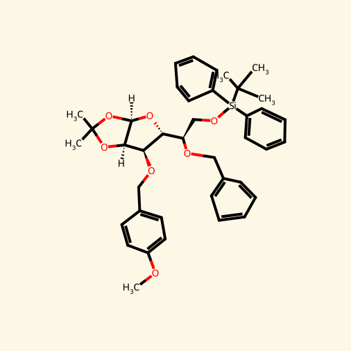 COc1ccc(CO[C@H]2[C@H]3OC(C)(C)O[C@H]3O[C@@H]2[C@@H](CO[Si](c2ccccc2)(c2ccccc2)C(C)(C)C)OCc2ccccc2)cc1